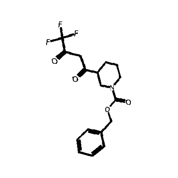 O=C(CC(=O)C(F)(F)F)C1CCCN(C(=O)OCc2ccccc2)C1